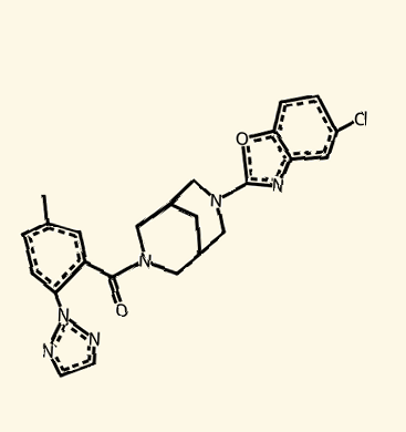 Cc1ccc(-n2nccn2)c(C(=O)N2CC3CC(C2)CN(c2nc4cc(Cl)ccc4o2)C3)c1